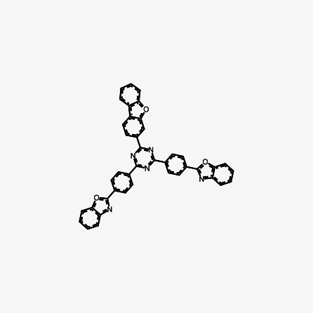 c1ccc2oc(-c3ccc(-c4nc(-c5ccc(-c6nc7ccccc7o6)cc5)nc(-c5ccc6c(c5)oc5ccccc56)n4)cc3)nc2c1